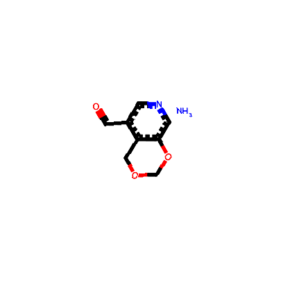 N.O=Cc1cncc2c1COCO2